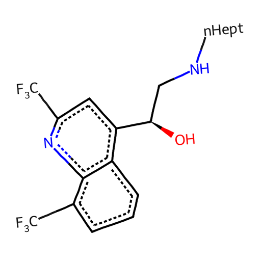 CCCCCCCNC[C@@H](O)c1cc(C(F)(F)F)nc2c(C(F)(F)F)cccc12